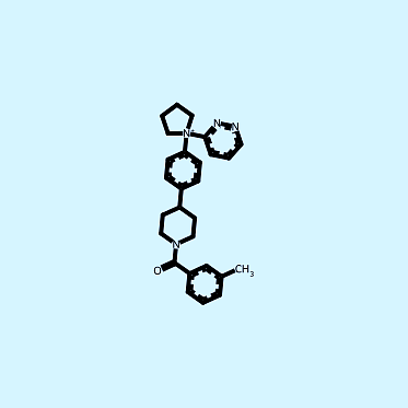 Cc1cccc(C(=O)N2CCC(c3ccc([N+]4(c5cccnn5)CCCC4)cc3)CC2)c1